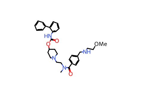 COCCNCc1ccc(C(=O)N(C)CCN2CCC(OC(=O)Nc3ccccc3-c3ccccc3)CC2)cc1